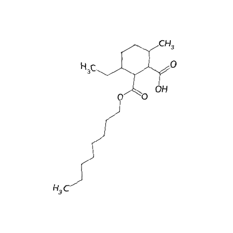 CCCCCCCCOC(=O)C1C(CC)CCC(C)C1C(=O)O